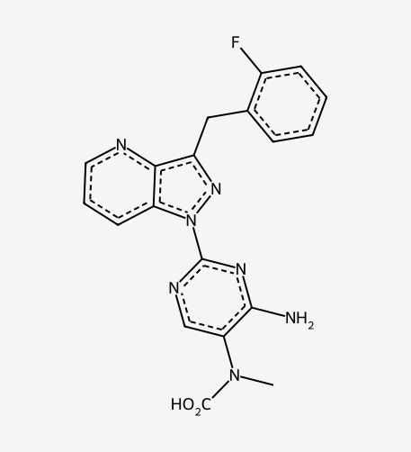 CN(C(=O)O)c1cnc(-n2nc(Cc3ccccc3F)c3ncccc32)nc1N